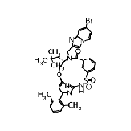 Cc1cccc(C)c1-c1cc2nc(n1)NS(=O)(=O)c1cccc(c1)C(=O)N(Cc1cn3ccc(Br)cc3n1)[C@H](CC(C)(C)C)CO2